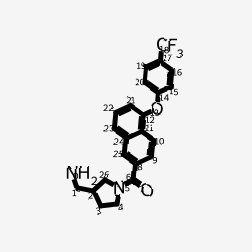 NCC1CCN(C(=O)c2ccc3c(Oc4ccc(C(F)(F)F)cc4)cccc3c2)C1